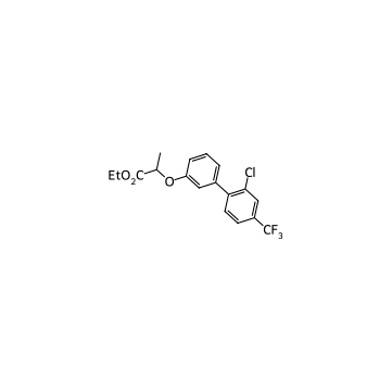 CCOC(=O)C(C)Oc1cccc(-c2ccc(C(F)(F)F)cc2Cl)c1